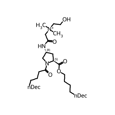 CCCCCCCCCCCCCCOC(=O)[C@@H]1C[C@@H](NC(=O)C[N+](C)(C)CCO)CN1C(=O)CCCCCCCCCCCCC